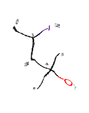 CC(I)CC(C)(C)[O]